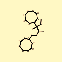 C[CH]C(C)(C(C)CCC1CCCCCCC1)C1CCCCCCC1